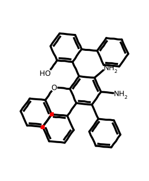 Nc1c(N)c(-c2ccccc2)c(-c2ccccc2)c(Oc2ccccc2)c1-c1c(O)cccc1-c1ccccc1